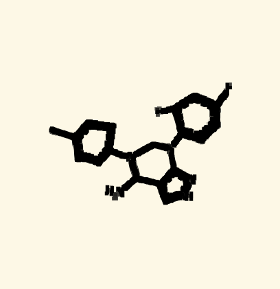 Cc1ccc(N2CN(c3ccc(F)cc3F)c3n[nH]cc3C2N)cc1